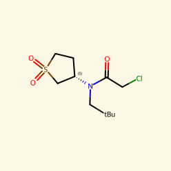 CC(C)(C)CN(C(=O)CCl)[C@H]1CCS(=O)(=O)C1